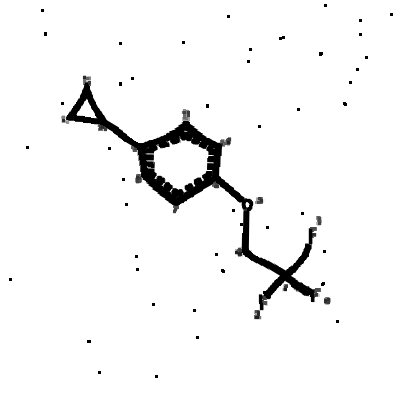 FC(F)(F)COc1[c]cc(C2CC2)cc1